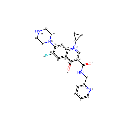 O=C(NCc1ccccn1)c1cn(C2CC2)c2cc(N3CCNCC3)c(F)cc2c1=O